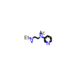 CCN(C)CCN(C(C)=O)c1cccnc1